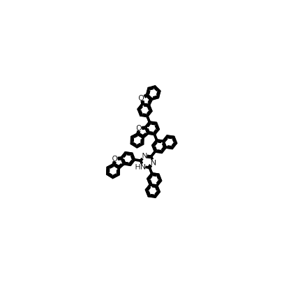 c1ccc2cc(C3=NC(c4cc(-c5ccc(-c6ccc7oc8ccccc8c7c6)c6oc7ccccc7c56)c5ccccc5c4)=NC(c4ccc5oc6ccccc6c5c4)N3)ccc2c1